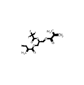 C=C(C)C(=O)OCC(COC(=O)C(=C)CI)OC(=O)C(F)(F)F